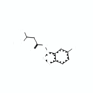 CCCC(CC(=O)On1nnc2ccc(C)cc21)C(=O)O